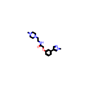 CN1CCN(CCNC(=O)COc2c[c]cc(-c3cnn(C)c3)c2)CC1